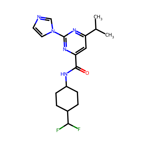 CC(C)c1cc(C(=O)NC2CCC(C(F)F)CC2)nc(-n2ccnc2)n1